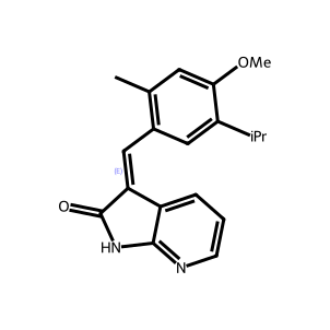 COc1cc(C)c(/C=C2/C(=O)Nc3ncccc32)cc1C(C)C